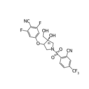 N#Cc1cc(C(F)(F)F)ccc1S(=O)(=O)N1CC(Oc2cc(F)c(C#N)c(F)c2)[C@](O)(CO)C1